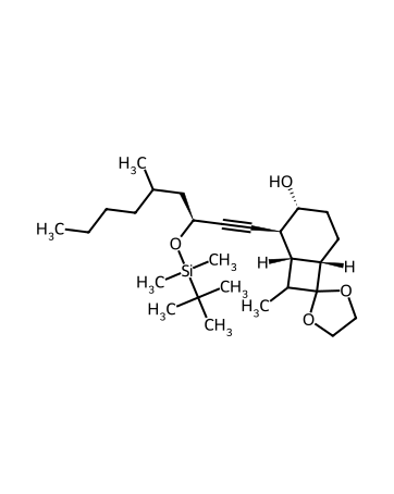 CCCCC(C)C[C@@H](C#C[C@@H]1[C@H]2C(C)C3(OCCO3)[C@H]2CC[C@H]1O)O[Si](C)(C)C(C)(C)C